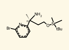 CC(C)(C)[Si](C)(C)OCC[C@](C)(N)c1cccc(Br)n1